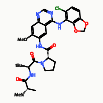 CN[C@@H](C)C(=O)N[C@H](C(=O)N1CCC[C@H]1C(=O)Nc1cc2c(Nc3c(Cl)ccc4c3OCO4)ncnc2cc1OC)C(C)(C)C